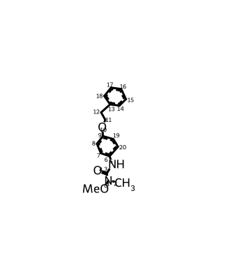 CON(C)C(=O)Nc1ccc(OCCc2ccccc2)cc1